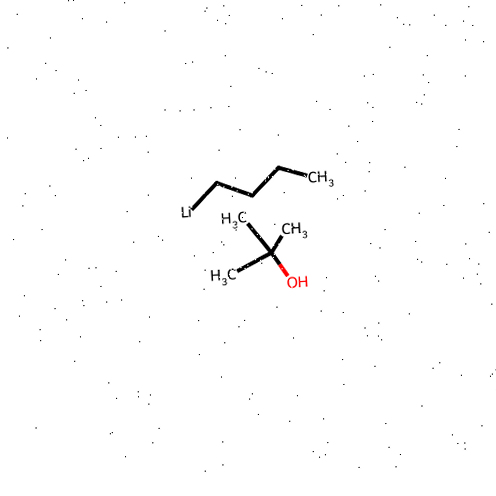 CC(C)(C)O.[Li][CH2]CCC